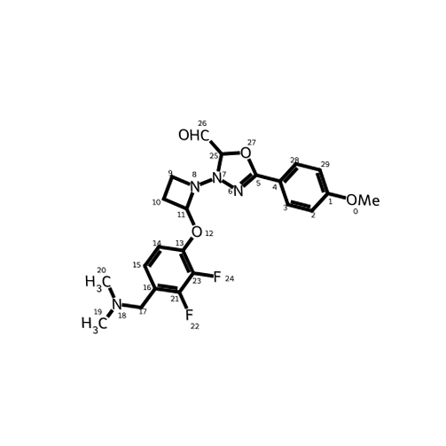 COc1ccc(C2=NN(N3CCC3Oc3ccc(CN(C)C)c(F)c3F)C(C=O)O2)cc1